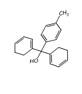 Cc1ccc(C(O)(C2=CC=CCC2)C2=CC=CCC2)cc1